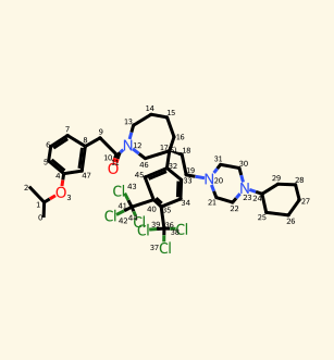 CC(C)Oc1cccc(CC(=O)N2CCCC[C@](CCN3CCN(C4CCCCC4)CC3)(c3ccc(C(Cl)(Cl)Cl)c(C(Cl)(Cl)Cl)c3)C2)c1